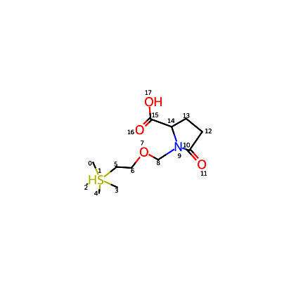 C[SH](C)(C)(C)CCOCN1C(=O)CCC1C(=O)O